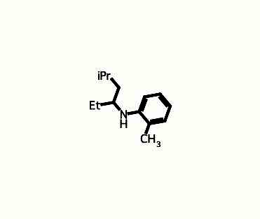 CCC(CC(C)C)Nc1ccccc1C